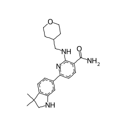 CC1(C)CNc2cc(-c3ccc(C(N)=O)c(NCC4CCOCC4)n3)ccc21